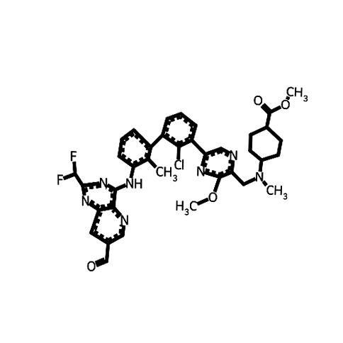 COC(=O)C1CCC(N(C)Cc2ncc(-c3cccc(-c4cccc(Nc5nc(C(F)F)nc6cc(C=O)cnc56)c4C)c3Cl)nc2OC)CC1